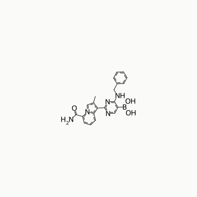 Cc1cn2c(C(N)=O)cccc2c1-c1ncc(B(O)O)c(NCc2ccccc2)n1